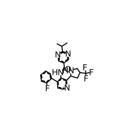 CC(C)c1ncc(C(=O)Nc2c(-c3ccccc3F)ccnc2C2CC(C(F)(F)F)CN2)cn1